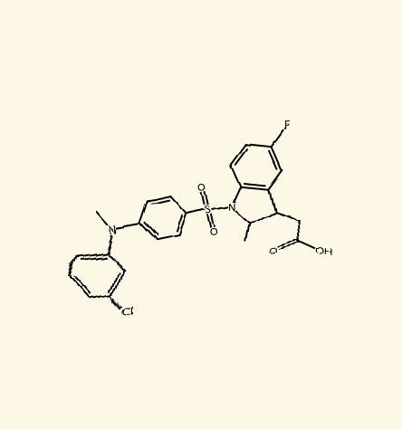 CC1C(CC(=O)O)c2cc(F)ccc2N1S(=O)(=O)c1ccc(N(C)c2cccc(Cl)c2)cc1